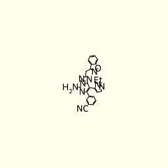 CCn1nccc1-c1c(-c2cccc(C#N)c2)nc(N)n2nc(Cc3noc4ccccc34)nc12